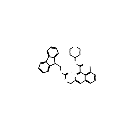 Cc1cccc2cc([C@H](C)NC(=O)OCC3c4ccccc4-c4ccccc43)nc(C(=O)NC3CCOCC3)c12